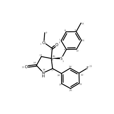 COC(=O)[C@@]1(Sc2ccc(C)cc2)CC(=O)NC1c1cccc(F)c1